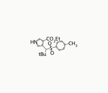 CCOC(=O)c1c[nH]cc1C(C(C)(C)C)S(=O)(=O)c1ccc(C)cc1